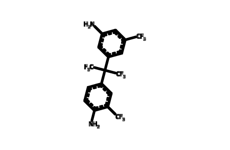 Nc1cc(C(F)(F)F)cc(C(c2ccc(N)c(C(F)(F)F)c2)(C(F)(F)F)C(F)(F)F)c1